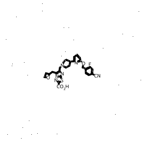 N#Cc1ccc(COc2cccc(C3CCN(Cc4nc5sc(C(=O)O)nn5c4CC4CCO4)CC3)n2)c(F)c1